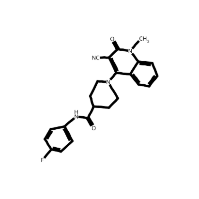 Cn1c(=O)c(C#N)c(N2CCC(C(=O)Nc3ccc(F)cc3)CC2)c2ccccc21